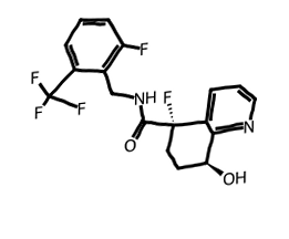 O=C(NCc1c(F)cccc1C(F)(F)F)[C@]1(F)CC[C@H](O)c2ncccc21